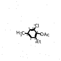 CCc1cc(C)cc(Cl)c1OC(C)=O